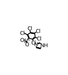 O=[N+]([O-])c1c(Cl)c(Cl)c(Cl)c(Cl)c1Cl.c1c[nH]cn1